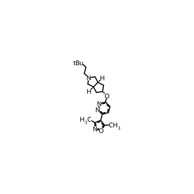 Cc1noc(C)c1-c1ccc(O[C@H]2C[C@@H]3CN(CCC(C)(C)C)C[C@@H]3C2)nn1